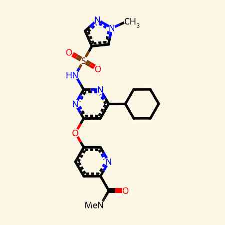 CNC(=O)c1ccc(Oc2cc(C3CCCCC3)nc(NS(=O)(=O)c3cnn(C)c3)n2)cn1